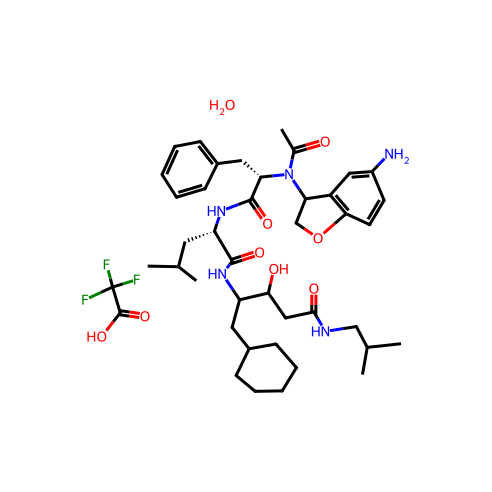 CC(=O)N(C1COc2ccc(N)cc21)[C@@H](Cc1ccccc1)C(=O)N[C@@H](CC(C)C)C(=O)NC(CC1CCCCC1)C(O)CC(=O)NCC(C)C.O.O=C(O)C(F)(F)F